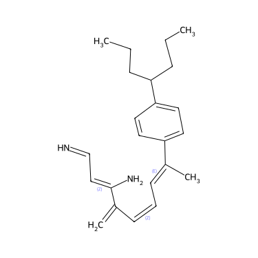 C=C(/C=C\C=C(/C)c1ccc(C(CCC)CCC)cc1)/C(N)=C/C=N